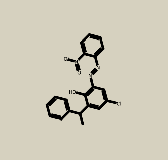 CC(c1ccccc1)c1cc(Cl)cc(/N=N/c2ccccc2[N+](=O)[O-])c1O